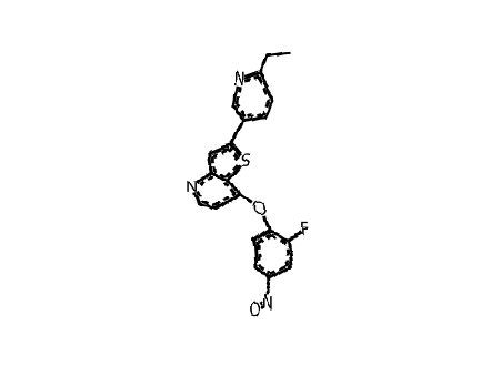 CCc1ccc(-c2cc3nccc(Oc4ccc(N=O)cc4F)c3s2)cn1